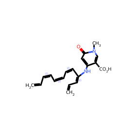 C=C\C=C/C=C\C=C/C(=C\C=C)Nc1cc(=O)n(C)cc1C(=O)O